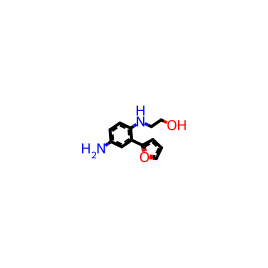 Nc1ccc(NCCO)c(-c2ccco2)c1